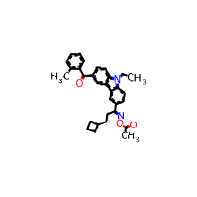 CCn1c2ccc(C(=O)c3ccccc3C)cc2c2cc(/C(CCC3CCC3)=N/OC(C)=O)ccc21